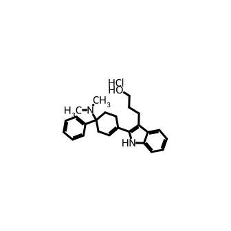 CN(C)C1(c2ccccc2)CC=C(c2[nH]c3ccccc3c2CCCO)CC1.Cl